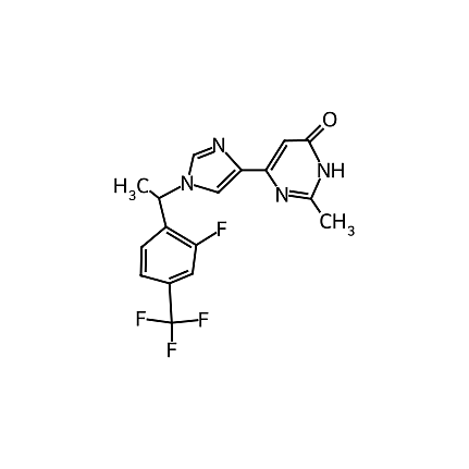 Cc1nc(-c2cn(C(C)c3ccc(C(F)(F)F)cc3F)cn2)cc(=O)[nH]1